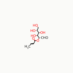 C/C=C/C(=O)O[C@@H](C=O)[C@@H](O)[C@H](O)[C@H](O)CO